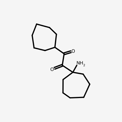 NC1(C(=O)C(=O)C2CCCCCC2)CCCCCC1